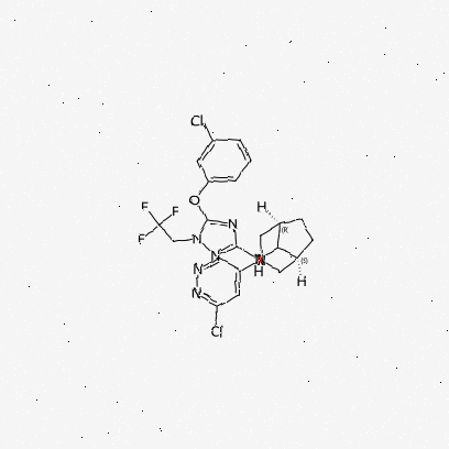 FC(F)(F)Cn1nc(NC2[C@@H]3CC[C@H]2CN(c2cnnc(Cl)c2)C3)nc1Oc1cccc(Cl)c1